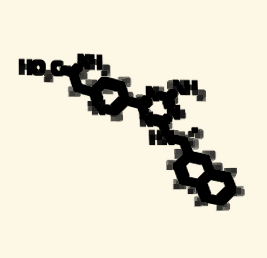 C[C@@H](Nc1nc(N)nc(-c2ccc(CC(N)C(=O)O)nc2)n1)c1ccc2ccccc2c1